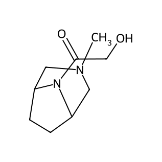 CN1CC2CCC(C1)N2C(=O)CO